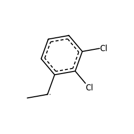 C[CH]c1cccc(Cl)c1Cl